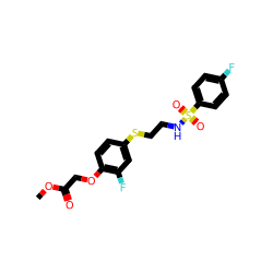 COC(=O)COc1ccc(SCCNS(=O)(=O)c2ccc(F)cc2)cc1F